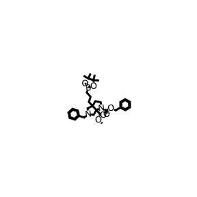 COC(=O)C12CN(Cc3ccccc3)CC1(CCCB1OC(C)(C)C(C)(C)O1)CCN2C(=O)OCc1ccccc1